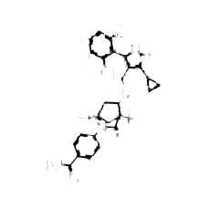 O=C(O)c1ccc(N2C(=O)[C@@H]3C[C@H]2C[C@@H]3OCc2c(-c3c(Cl)cccc3Cl)noc2C2CC2)cc1